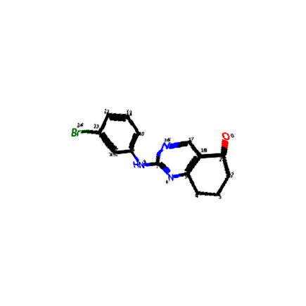 O=C1CCCc2nc(Nc3cccc(Br)c3)ncc21